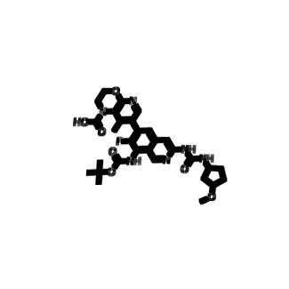 COC1CCC(NC(=O)Nc2cc3cc(-c4cnc5c(c4C)N(C(=O)O)CCO5)c(F)c(NC(=O)OC(C)(C)C)c3cn2)C1